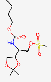 CCCCOC(=O)N[C@@H](COS(C)(=O)=O)[C@@H]1COC(C)(C)O1